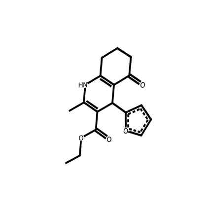 CCOC(=O)C1=C(C)NC2=C(C(=O)CCC2)C1c1ccco1